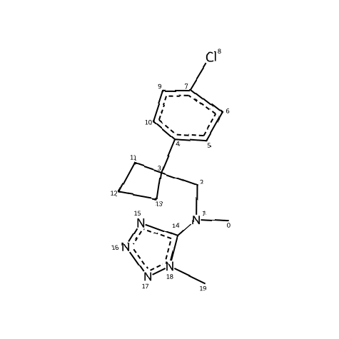 CN(CC1(c2ccc(Cl)cc2)CCC1)c1nnnn1C